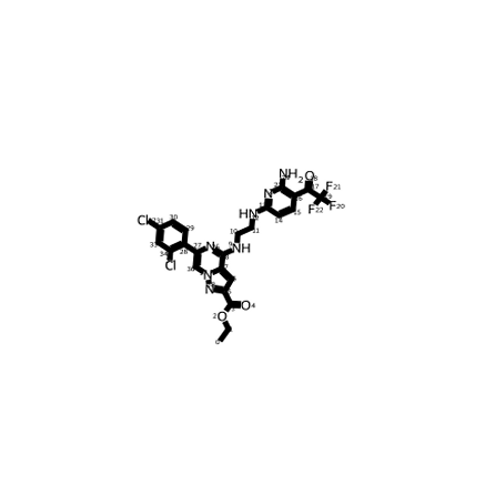 CCOC(=O)c1cc2c(NCCNc3ccc(C(=O)C(F)(F)F)c(N)n3)nc(-c3ccc(Cl)cc3Cl)cn2n1